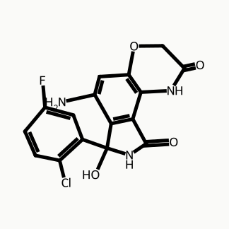 Nc1cc2c(c3c1C(O)(c1cc(F)ccc1Cl)NC3=O)NC(=O)CO2